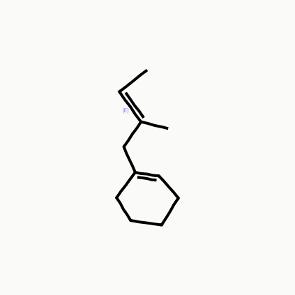 C/C=C(\C)CC1=CCCCC1